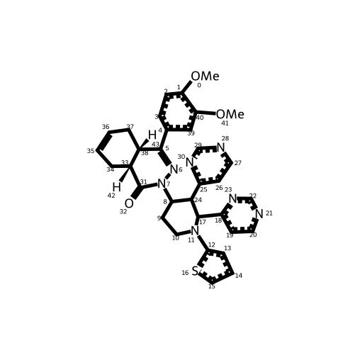 COc1ccc(C2=NN(C3CCN(c4cccs4)C(c4ccncn4)C3c3ccncn3)C(=O)[C@@H]3CC=CC[C@H]23)cc1OC